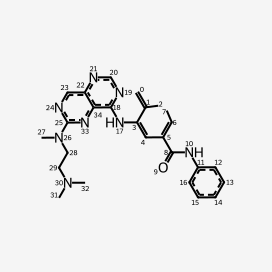 C=C(C)/C(=C\C(=C/C)C(=O)Nc1ccccc1)Nc1ncnc2cnc(N(C)CCN(C)C)nc12